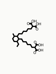 CCC1CCC(C)C(CCCCCCC(C(=O)O)C(=O)O)C1CCCCCCC(C(=O)O)C(=O)O